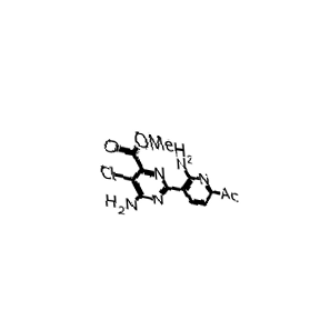 COC(=O)c1nc(-c2ccc(C(C)=O)nc2N)nc(N)c1Cl